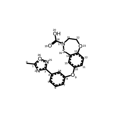 Cc1nc(-c2cccc(Oc3ccc4c(c3)SN(C(=O)O)CCO4)c2)no1